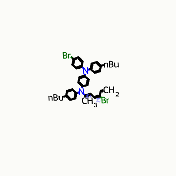 C=C/C(Br)=C\C=C(/C)N(c1ccc(CCCC)cc1)c1ccc(N(c2ccc(Br)cc2)c2ccc(CCCC)cc2)cc1